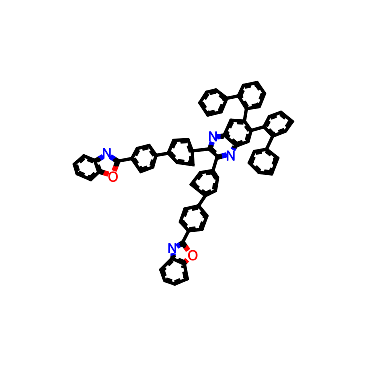 c1ccc(-c2ccccc2-c2cc3nc(-c4ccc(-c5ccc(-c6nc7ccccc7o6)cc5)cc4)c(-c4ccc(-c5ccc(-c6nc7ccccc7o6)cc5)cc4)nc3cc2-c2ccccc2-c2ccccc2)cc1